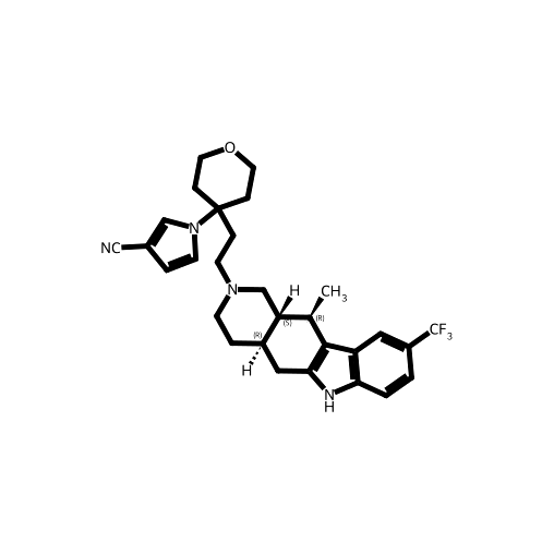 C[C@H]1c2c([nH]c3ccc(C(F)(F)F)cc23)C[C@H]2CCN(CCC3(n4ccc(C#N)c4)CCOCC3)C[C@@H]21